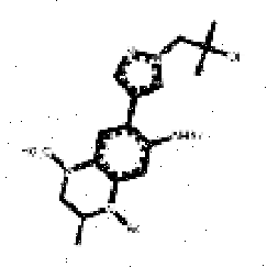 CC(=O)Nc1cc2c(cc1-c1cnn(CC(C)(C)O)c1)N(C(=O)O)C[C@H](C)N2C(C)=O